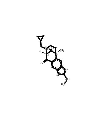 CNc1nc2cc3c(cc2s1)C(=O)[C@@H]1[C@H](C)[C@@]3(C)CCN1CC1CC1